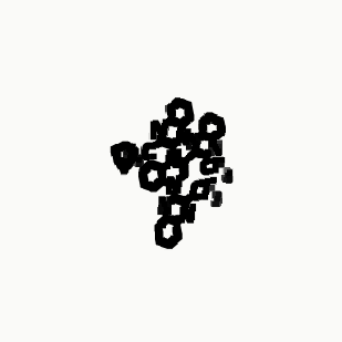 FC(F)(F)c1nc2ccccc2nc1C1=CN(c2nc3ccccc3nc2C(F)(F)F)c2ccccc2N1c1nc2ccccc2nc1C(F)(F)F.c1cc2cc-2c1